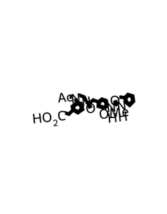 COc1cc(CC(=O)N2CCN(C(C)=O)c3cc(CCC(=O)O)ccc32)ccc1NC(=O)Nc1ccccc1C